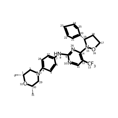 C[C@@H]1CN(c2ccc(Nc3ncc(C(F)(F)F)c(N4OCC[C@H]4c4ccccc4)n3)cc2)C[C@H](C)O1